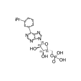 CC(C)c1cccc(-c2ncnc3c2ncn3[C@@H]2O[C@H](COP(=O)(O)O)[C@@H](O)[C@H]2O)c1